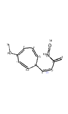 C=C(/C=C\C1C=CC=C(OC)C=C1)N=O